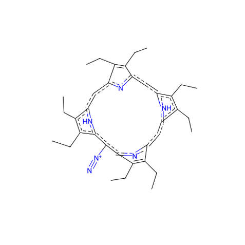 CCC1=C(CC)c2cc3[nH]c(c(CC)c3CC)c([N+]#N)c3nc(cc4[nH]c(cc1n2)c(CC)c4CC)C(CC)=C3CC